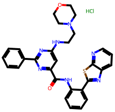 Cl.O=C(Nc1ccccc1-c1nc2cccnc2s1)c1cc(NCCN2CCOCC2)nc(-c2ccccc2)n1